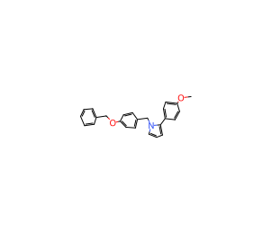 COc1ccc(-c2cccn2Cc2ccc(OCc3ccccc3)cc2)cc1